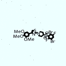 COc1cc(-c2csc(N3CCC(S(=O)(=O)c4c(F)c(Br)cc(F)c4Br)CC3)n2)cc(OC)c1OC